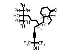 [2H]C([2H])([2H])C(O)(CCC[C@](C)(CC#CC(O)(C(F)(F)F)C(F)(F)F)[C@H]1CC[C@H]2C(=O)CCC[C@]12C)C([2H])([2H])[2H]